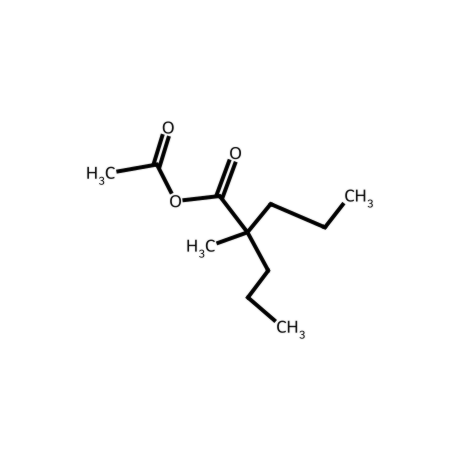 CCCC(C)(CCC)C(=O)OC(C)=O